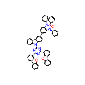 O=P1(c2ccccc2)N(c2ccccc2)c2ccc(-c3ccc4c(c3)c3ccccc3n4-c3nc(-c4cccc5c4oc4ccccc45)nc(-c4cccc5c4oc4ccccc45)n3)cc2N1c1ccccc1